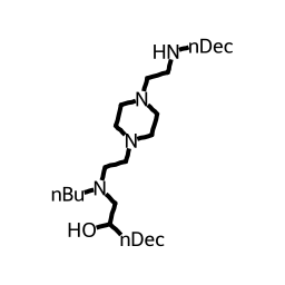 CCCCCCCCCCNCCN1CCN(CCN(CCCC)CC(O)CCCCCCCCCC)CC1